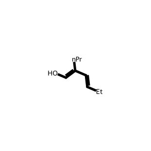 CCC=CC(=CO)CCC